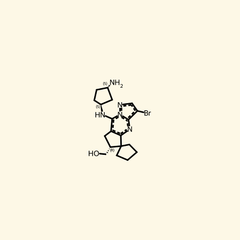 N[C@H]1CC[C@H](Nc2c3c(nc4c(Br)cnn24)C2(CCCC2)[C@H](CO)C3)C1